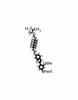 C=C(C)C(=O)OCCC(F)(F)C(F)(F)C(F)(F)C(F)(F)CCSc1ccc2cc(-c3ccc(CCCCC)cc3OC)oc2c1